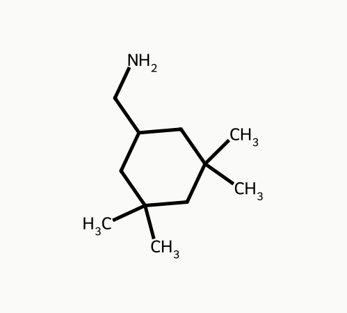 CC1(C)CC(CN)CC(C)(C)C1